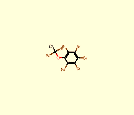 CCC(Br)(Br)Oc1c(Br)c(Br)c(Br)c(Br)c1Br